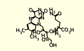 Cc1cc2nc3c(=O)[nH]c(=O)nc-3n(C[C@H](O)[C@H](O)[C@H](O)CO)c2cc1C.NC(=O)CC[C@H](N)C(=O)O